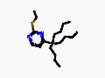 CCC[CH2][Sn]([CH2]CCC)([CH2]CCC)[c]1ccnc(SCC)n1